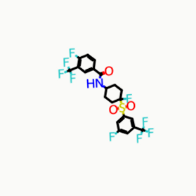 O=C(NC1CCC(F)(S(=O)(=O)c2cc(F)cc(C(F)(F)F)c2)CC1)c1ccc(F)c(C(F)(F)F)c1